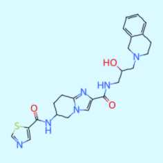 O=C(NCC(O)CN1CCc2ccccc2C1)c1cn2c(n1)CCC(NC(=O)c1cncs1)C2